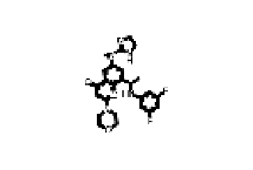 CC(Nc1cc(F)cc(F)c1)c1cc(NC2=NCCN2)cc2c(=O)cc(N3CCOCC3)oc12